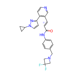 O=C(/C=C/c1cnccc1-c1ccn(C2CC2)n1)Nc1ccc(CN2CC(F)(F)C2)cc1